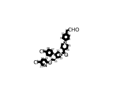 O=CCc1ccc(N2CCC(C(=O)N3C[C@H](CCOc4ccc(Cl)cn4)[C@@H](c4ccc(Cl)cc4)C3)CC2)cc1